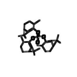 CC1CCC2C(=C1OP(=O)(OC1=C3C(CCC1C)C3(C)C)OC1=C3C(CCC1C)C3(C)C)C2(C)C